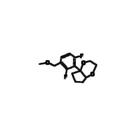 COCc1ccc(F)c(C23CCCC2OCCO3)c1F